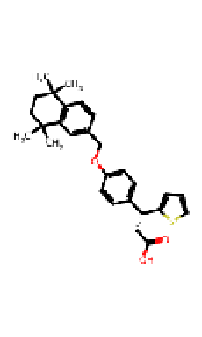 CC1(C)CCC(C)(C)c2cc(COc3ccc([C@@H](CC(=O)O)c4cccs4)cc3)ccc21